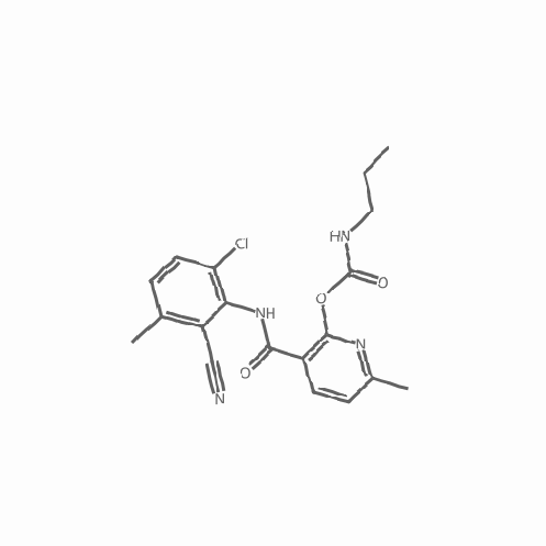 CCCNC(=O)Oc1nc(C)ccc1C(=O)Nc1c(Cl)ccc(C)c1C#N